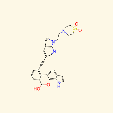 O=C(O)c1cccc(C#Cc2cnc3c(ccn3CCN3CCS(=O)(=O)CC3)c2)c1-c1ccc2cc[nH]c2c1